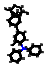 Cc1cc(-c2ccc3c(c2)C2(C)CCC3(C)CC2)ccc1N(c1ccccc1)c1ccccc1